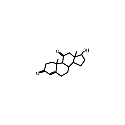 CC12CCC(=O)C=C1CCC1C2C(=O)CC2(C)C(O)CCC12